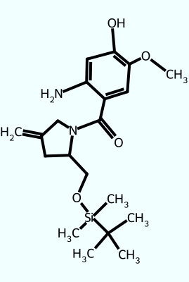 C=C1CC(CO[Si](C)(C)C(C)(C)C)N(C(=O)c2cc(OC)c(O)cc2N)C1